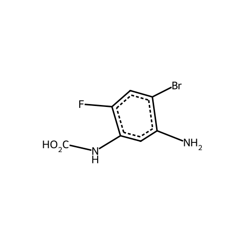 Nc1cc(NC(=O)O)c(F)cc1Br